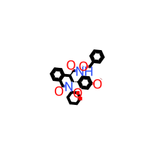 COc1ccc([C@H]2[C@H](C(=O)NOCc3ccccc3)c3ccccc3C(=O)N2C2CCCCC2)c(OC)c1